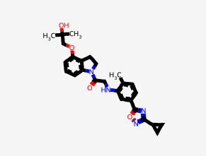 Cc1ccc(-c2nc(C3CC3)no2)cc1NCC(=O)N1CCc2c(OCC(C)(C)O)cccc21